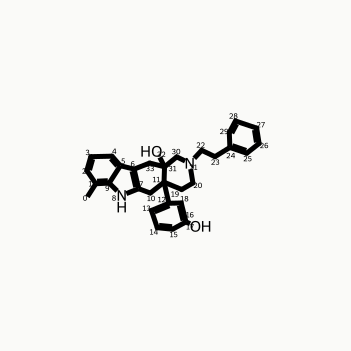 Cc1cccc2c3c([nH]c12)CC1(c2cccc(O)c2)CCN(CCc2ccccc2)CC1(O)C3